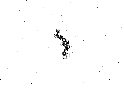 CN(Cc1ccc(Cl)c(Cl)c1)C(=O)Cn1cnc2ccc(N3CCN(C(=O)C4COC4)CC3)cc2c1=O